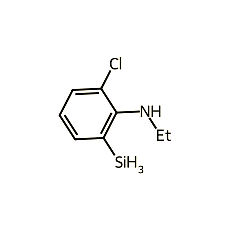 CCNc1c([SiH3])cccc1Cl